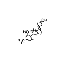 Cc1cc(C(F)(F)F)cc(O)c1-c1cc2c(nn1)N([C@@H]1CC[C@H](O)C1)CC2